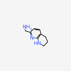 NCc1ccc2c(n1)NCCC2